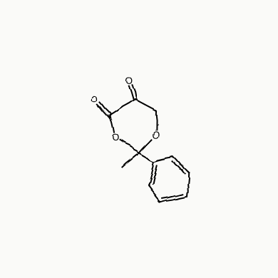 CC1(c2ccccc2)OCC(=O)C(=O)O1